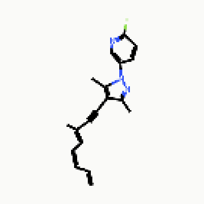 C=C/C=C\C=C(/C)C#Cc1c(C)nn(-c2ccc(F)nc2)c1C